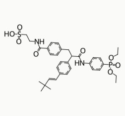 CCOP(=O)(OCC)c1ccc(NC(=O)C(Cc2ccc(C(=O)NCCS(=O)(=O)O)cc2)c2ccc(/C=C/C(C)(C)C)cc2)cc1